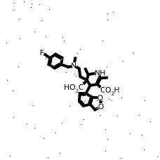 CC1=C(C(=O)O)C(c2cccc3c2OOC3)C(CCN(C)Cc2ccc(F)cc2)(C(=O)O)C(C)N1